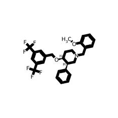 COc1ccccc1CN1CC[C@H](OCc2cc(C(F)(F)F)cc(C(F)(F)F)c2)[C@H](c2ccccc2)C1